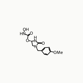 COc1ccc(CN2C[C@@H](OC(=O)NO)NC2=O)cc1